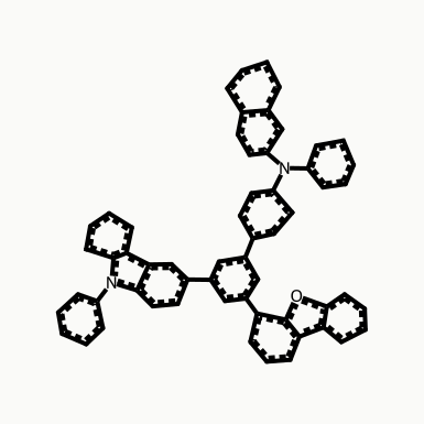 c1ccc(N(c2ccc(-c3cc(-c4ccc5c(c4)c4ccccc4n5-c4ccccc4)cc(-c4cccc5c4oc4ccccc45)c3)cc2)c2ccc3ccccc3c2)cc1